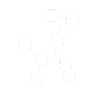 CC1=C(N(/C(C)=N/c2ccccc2C)c2cc(-c3ccccc3)cc(-c3ccccc3)c2)CCC(n2c3ccccc3c3ccccc32)=C1